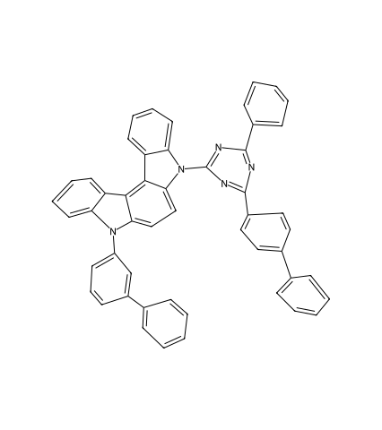 c1ccc(-c2ccc(-c3nc(-c4ccccc4)nc(-n4c5ccccc5c5c6c7ccccc7n(-c7cccc(-c8ccccc8)c7)c6ccc54)n3)cc2)cc1